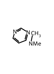 CNC.c1cncnc1